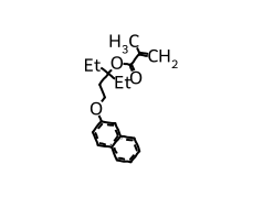 C=C(C)C(=O)OC(CC)(CC)CCOc1ccc2ccccc2c1